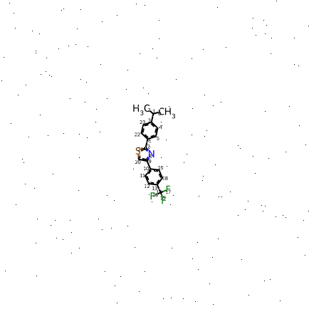 CC(C)c1ccc(-c2nc(-c3ccc(C(F)(F)F)cc3)cs2)cc1